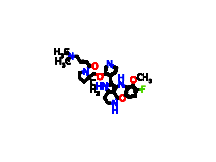 COc1c(F)cccc1Nc1c(-c2ccncc2OC[C@@]2(C)CCCN2C(=O)/C=C/CN(C)C)[nH]c2c1C(=O)NCC2